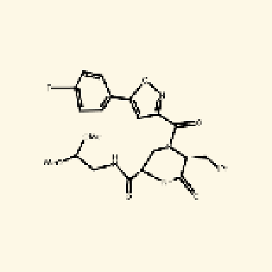 COC(CNC(=O)[C@H]1CN(C(=O)c2cc(-c3ccc(F)cc3)on2)[C@@H](CC(C)C)C(=O)N1)OC